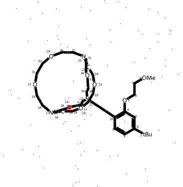 COCCOc1cc(C(C)(C)C)ccc1N1CCOCCN2CCOCCOCCN(CCOCCOCC2)CCOCC1